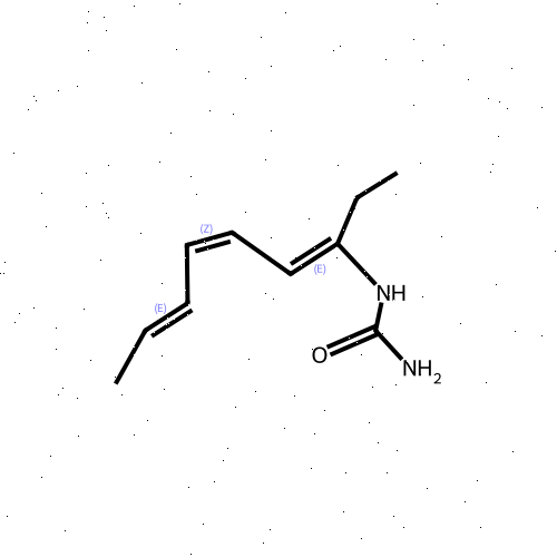 C/C=C/C=C\C=C(/CC)NC(N)=O